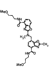 COCCCNC(=O)c1cccc2oc(N(C)Cc3ccc(C(=O)NCCCOC)c4nc(C)oc34)nc12